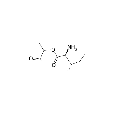 CC[C@H](C)[C@H](N)C(=O)OC(C)[C]=O